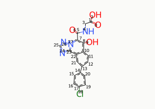 O=C(O)CNC(=O)c1c(O)c2ccc(-c3ccc(Cl)cc3)cc2c2ncnn12